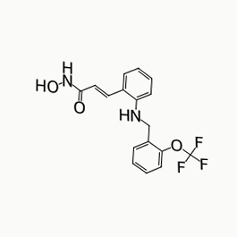 O=C(C=Cc1ccccc1NCc1ccccc1OC(F)(F)F)NO